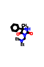 CCN(CC)CN1C(=O)NC(C)(c2ccccc2)C1=O